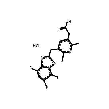 Cc1nc(C)c(Cc2nc3c(F)c(F)cc(F)c3s2)cc1CC(=O)O.Cl